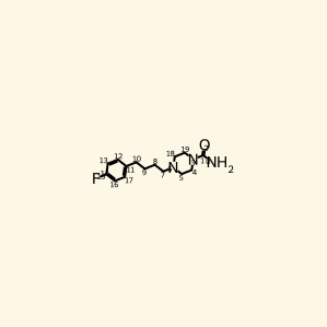 NC(=O)N1CCN(CCCCc2ccc(F)cc2)CC1